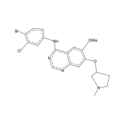 COc1cc2c(Nc3ccc(Br)c(Cl)c3)ncnc2cc1OC1CCN(C)C1